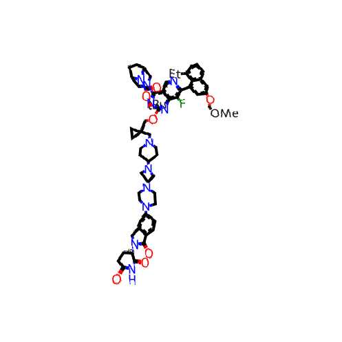 CCc1cccc2cc(OCOC)cc(-c3ncc4c(N5CC6CCC(C5)N6C(=O)OC(C)(C)C)nc(OCC5(CN6CCC(N7CC(N8CCN(c9ccc%10c(c9)CN([C@H]9CCC(=O)NC9=O)C%10=O)CC8)C7)CC6)CC5)nc4c3F)c12